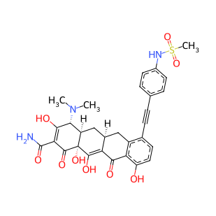 CN(C)[C@H]1C(O)=C(C(N)=O)C(=O)[C@]2(O)C(O)=C3C(=O)c4c(O)ccc(C#Cc5ccc(NS(C)(=O)=O)cc5)c4C[C@@H]3C[C@H]12